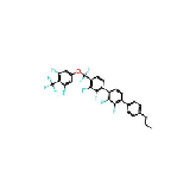 CCCc1ccc(-c2ccc(-c3ccc(C(F)(F)Oc4cc(F)c(C(F)(F)F)c(F)c4)c(F)c3F)c(F)c2F)cc1